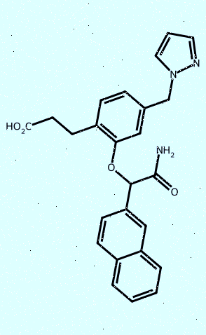 NC(=O)C(Oc1cc(Cn2cccn2)ccc1CCC(=O)O)c1ccc2ccccc2c1